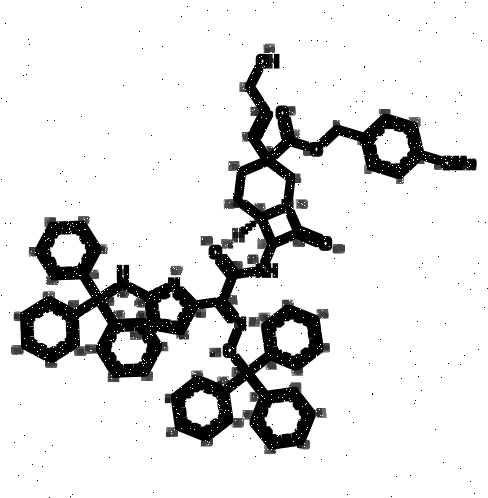 COc1ccc(COC(=O)C2(C=CCO)CS[C@@H]3C(NC(=O)C(=NOC(c4ccccc4)(c4ccccc4)c4ccccc4)c4csc(NC(c5ccccc5)(c5ccccc5)c5ccccc5)n4)C(=O)N3C2)cc1